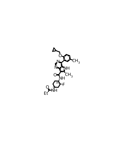 CCC(=O)N[C@H]1CC[C@@H](NC(=O)c2c(C)[nH]c3c(-c4cc(C)ccc4OCC4CC4)ncnc23)[C@H](F)C1